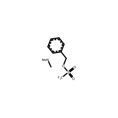 CNC.O=S(=O)(OCc1ccccc1)C(F)(F)F